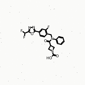 O=C(O)N1CC(C(=O)N(Cc2ccc(-c3nnc(C(F)F)o3)cc2F)c2ccccc2)C1